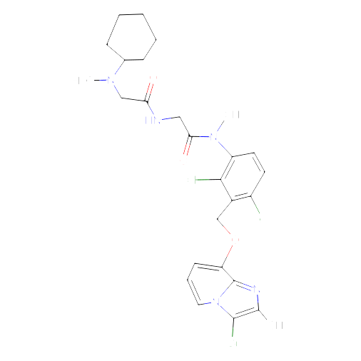 Cc1nc2c(OCc3c(Cl)ccc(N(C)C(=O)CNC(=O)CN(C)C4CCCCC4)c3Cl)cccn2c1Br